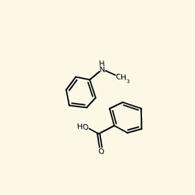 CNc1ccccc1.O=C(O)c1ccccc1